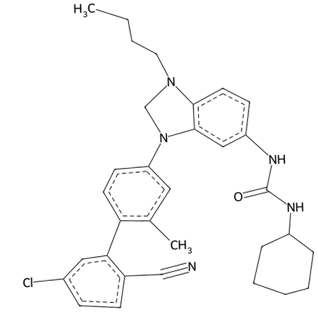 CCCCN1CN(c2ccc(-c3cc(Cl)ccc3C#N)c(C)c2)c2cc(NC(=O)NC3CCCCC3)ccc21